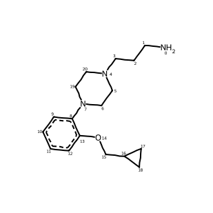 NCCCN1CCN(c2ccccc2OCC2CC2)CC1